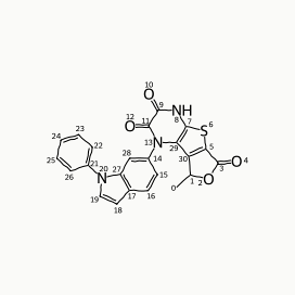 CC1OC(=O)c2sc3[nH]c(=O)c(=O)n(-c4ccc5ccn(-c6ccccc6)c5c4)c3c21